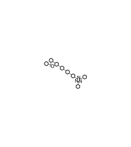 CC1(c2ccccc2)Oc2cc(-c3ccc(-c4ccc(-c5ccc(-c6nc(-c7ccccc7)nc(-c7ccccc7)n6)cc5)cc4)cc3)ccc2-c2ccccc21